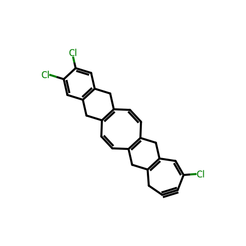 ClC1=CC2=C(CC#C1)CC1=C(/C=C\C3=C(/C=C\1)Cc1cc(Cl)c(Cl)cc1C3)C2